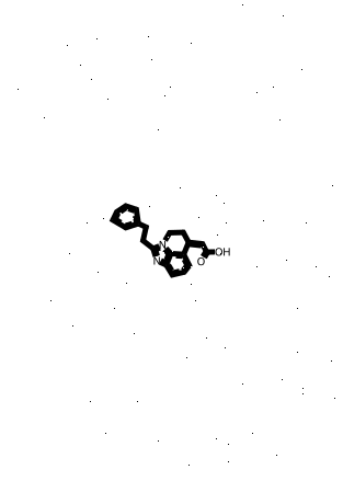 O=C(O)/C=C1/CCn2c(CCc3ccccc3)nc3cccc1c32